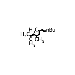 [CH2]C(C)=CC(C)CC(C)C=CCCCC